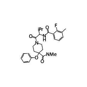 CNC(=O)C1(Oc2ccccc2)CCN(C(=O)C(NC(=O)c2cccc(C)c2F)C(C)C)CC1